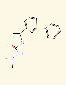 CC(NC(=O)NN(C)C)c1cccc(-c2ccccc2)c1